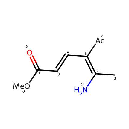 COC(=O)C=CC(C(C)=O)=C(C)N